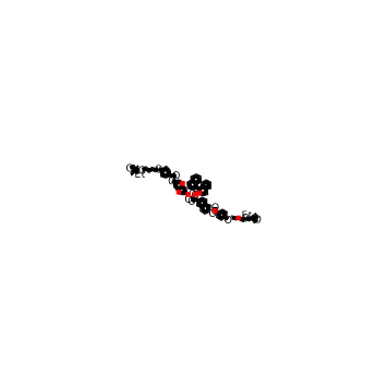 CCC1(COCCCCOc2ccc(C(=O)Oc3ccc4cc(C(=O)Oc5ccc6ccccc6c5-c5c(OC(=O)c6ccc7cc(OC(=O)c8ccc(OCCCCOCC9(CC)COC9)cc8)ccc7c6)ccc6ccccc56)ccc4c3)cc2)COC1